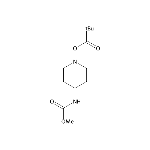 COC(=O)NC1CCN(OC(=O)C(C)(C)C)CC1